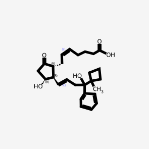 CC1(C(O)(C/C=C/[C@H]2[C@H](O)CC(=O)[C@@H]2C/C=C\CCCC(=O)O)c2ccccc2)CCC1